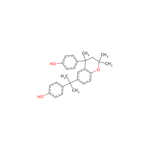 CC1(C)CC(C)(c2ccc(O)cc2)c2cc(C(C)(C)c3ccc(O)cc3)ccc2O1